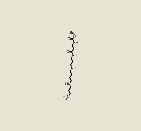 CC(C)(C)OC(=O)NCCC(=O)NCCCNCCCCNCCCN